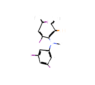 C=C/C(P)=C(\C(I)=C/C(C)I)N(C)c1cc(I)cc(I)c1